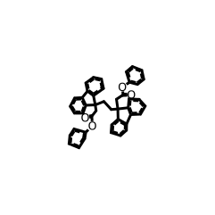 O=C(CC1(CCC2(CC(=O)Oc3ccccc3)c3ccccc3-c3ccccc32)c2ccccc2-c2ccccc21)Oc1ccccc1